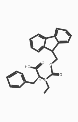 CCN(C(=O)OCC1c2ccccc2-c2ccccc21)[C@@H](Cc1ccccc1)C(=O)O